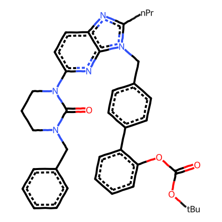 CCCc1nc2ccc(N3CCCN(Cc4ccccc4)C3=O)nc2n1Cc1ccc(-c2ccccc2OC(=O)OC(C)(C)C)cc1